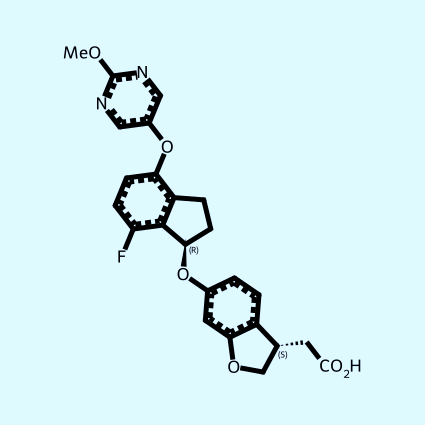 COc1ncc(Oc2ccc(F)c3c2CC[C@H]3Oc2ccc3c(c2)OC[C@H]3CC(=O)O)cn1